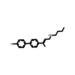 CCCCNCC=C(C)c1ccc(-c2ccc(Cl)cc2)cc1